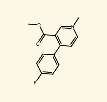 COC(=O)c1c[n+](C)ccc1-c1ccc(F)cc1